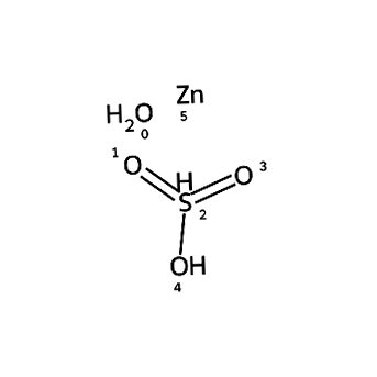 O.O=[SH](=O)O.[Zn]